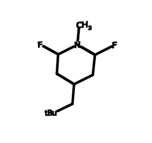 CN1C(F)CC(CC(C)(C)C)CC1F